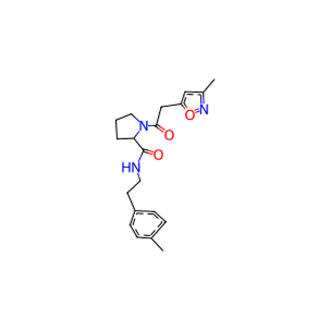 Cc1ccc(CCNC(=O)C2CCCN2C(=O)Cc2cc(C)no2)cc1